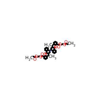 C=CC(=O)OCCOC(=O)c1cccc(C(C)C2=C/C(=C3/C=C(C(C)c4cccc(C(=O)OCCOC(=O)C=C)c4)C(=O)c4ccccc43)c3ccccc3C2=O)c1